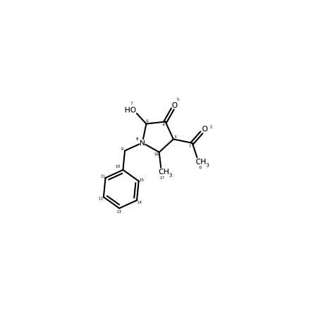 CC(=O)C1C(=O)C(O)N(Cc2ccccc2)C1C